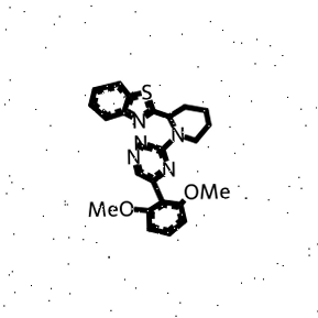 COc1cccc(OC)c1-c1cnnc(N2CCCCC2c2nc3ccccc3s2)n1